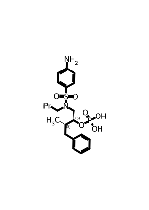 CC(C)CN(C[C@@H](OP(=O)(O)O)[C@@H](C)Cc1ccccc1)S(=O)(=O)c1ccc(N)cc1